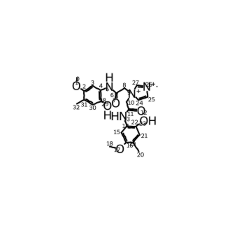 COc1cc(NC(=O)C[N+]2(CC(=O)Nc3cc(OC)c(C)cc3O)C=C[N+]=C2)c(O)cc1C